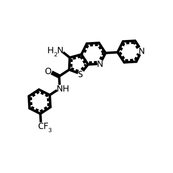 Nc1c(C(=O)Nc2cccc(C(F)(F)F)c2)sc2nc(-c3ccncc3)ccc12